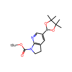 CC(C)(C)OC(=O)N1CCc2cc(B3OC(C)(C)C(C)(C)O3)cnc21